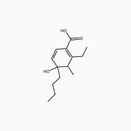 CCCCC1(O)C=CC(C(=O)O)=C(CC)C1C